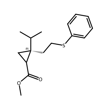 COC(=O)C1C[C@@]1(CCSc1ccccc1)C(C)C